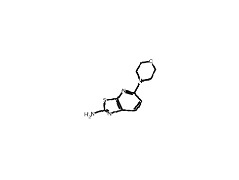 Nc1nc2ccc(N3CCOCC3)nc2s1